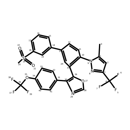 Cc1cc(C(F)(F)F)nn1-c1ccc(-c2cccc(S(C)(=O)=O)c2)cc1-c1ocnc1-c1ccc(OC(F)(F)F)cc1